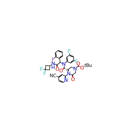 CC(C)(C)OC(=O)N1CC(=O)N(c2cc(C#N)ccn2)[C@H](C(=O)N(c2cc(F)cc(F)c2)C(C(=O)NC2CC(F)(F)C2)c2ccccc2I)C1